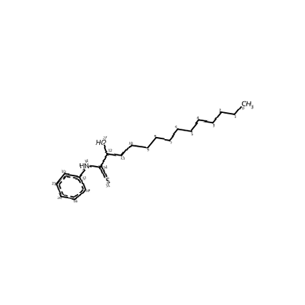 CCCCCCCCCCCCC(O)C(=S)Nc1ccccc1